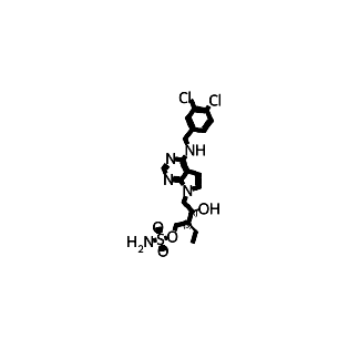 CC[C@@H](COS(N)(=O)=O)[C@@H](O)Cn1ccc2c(NCc3ccc(Cl)c(Cl)c3)ncnc21